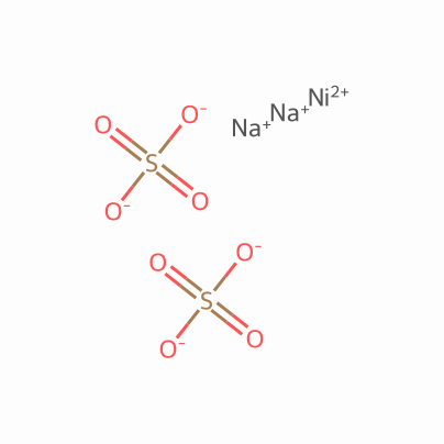 O=S(=O)([O-])[O-].O=S(=O)([O-])[O-].[Na+].[Na+].[Ni+2]